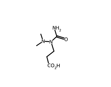 CN(C)N(CCC(=O)O)C(N)=O